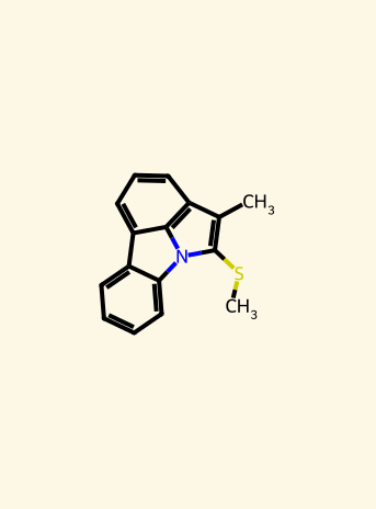 CSc1c(C)c2cccc3c4ccccc4n1c23